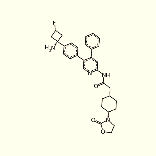 N[C@]1(c2ccc(-c3cnc(NC(=O)C[C@H]4CC[C@H](N5CCOC5=O)CC4)cc3-c3ccccc3)cc2)C[C@@H](F)C1